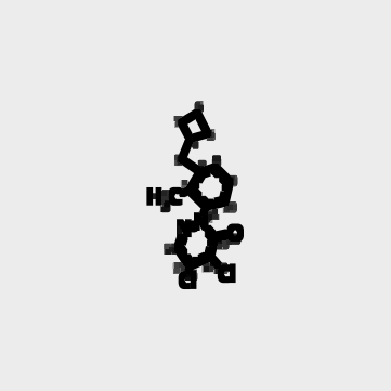 Cc1c(CC2CCC2)cccc1-n1ncc(Cl)c(Cl)c1=O